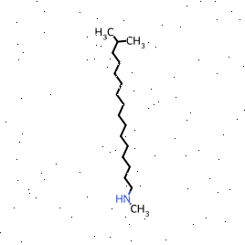 CNCCCCCCCCCCCCCCC(C)C